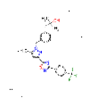 Cc1cc(-c2nc(-c3ccc(C(F)(F)F)cc3)no2)nn1Cc1cccc(CC(C)(C)O)c1